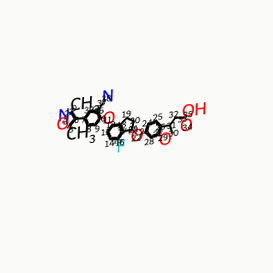 Cc1noc(C)c1-c1ccc(Oc2ccc(F)c3c2CC[C@H]3Oc2ccc3c(c2)OCC3CC(=O)O)c(C#N)c1